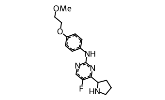 COCCOc1ccc(Nc2ncc(F)c(C3CCCN3)n2)cc1